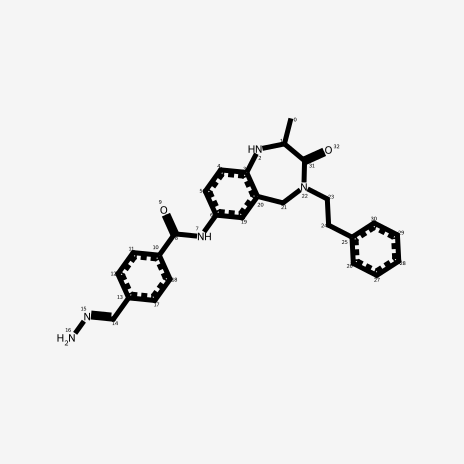 CC1Nc2ccc(NC(=O)c3ccc(C=NN)cc3)cc2CN(CCc2ccccc2)C1=O